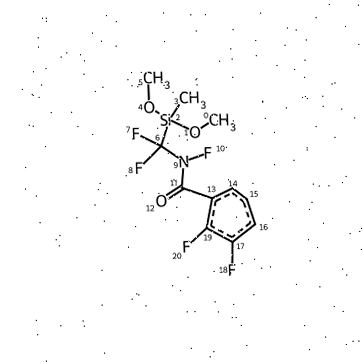 CO[Si](C)(OC)C(F)(F)N(F)C(=O)c1cccc(F)c1F